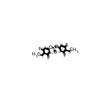 CCc1c(F)cc(OS(=O)Oc2cc(F)c(CC)c(F)c2)cc1F